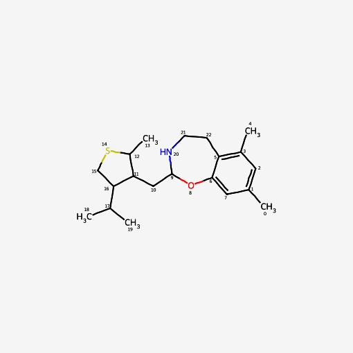 Cc1cc(C)c2c(c1)OC(CC1C(C)SCC1C(C)C)NCC2